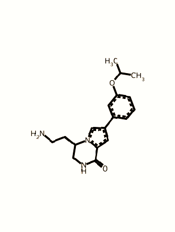 CC(C)Oc1cccc(-c2cc3n(c2)C(CCN)CNC3=O)c1